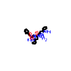 NC(Cc1c[nH]c2ccccc12)C(=O)NC(Cc1c[nH]c2ccccc12)C(=O)NCC(=O)OCc1ccccc1